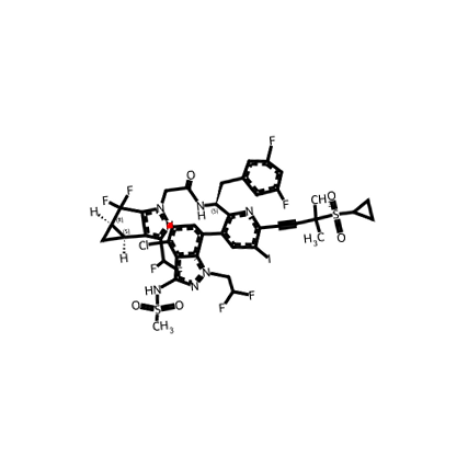 CC(C)(C#Cc1nc([C@H](Cc2cc(F)cc(F)c2)NC(=O)Cn2nc(C(F)F)c3c2C(F)(F)[C@@H]2C[C@H]32)c(-c2ccc(Cl)c3c(NS(C)(=O)=O)nn(CC(F)F)c23)cc1I)S(=O)(=O)C1CC1